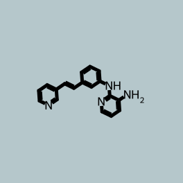 Nc1cccnc1Nc1cccc(/C=C/c2cccnc2)c1